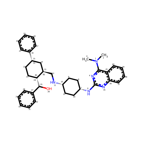 CN(C)c1nc(N[C@H]2CC[C@@H](NC[C@@H]3C[C@@H](c4ccccc4)CC[C@H]3C(O)c3ccccc3)CC2)nc2ccccc12